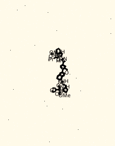 COC(=O)NC(C(=O)N1[C@H](c2ncc(-c3ccc4c(c3)COc3cc5c(ccc6nc([C@@H]7C[C@@H]8CCC[C@@H]8N7C(=O)[C@@H](NC(=O)OC)C7CCOCC7)[nH]c65)cc3-4)[nH]2)C[C@@H]2CCCC[C@@H]21)C(C)C